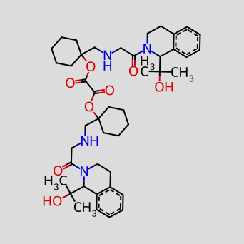 CC(C)(O)C1c2ccccc2CCN1C(=O)CNCC1(OC(=O)C(=O)OC2(CNCC(=O)N3CCc4ccccc4C3C(C)(C)O)CCCCC2)CCCCC1